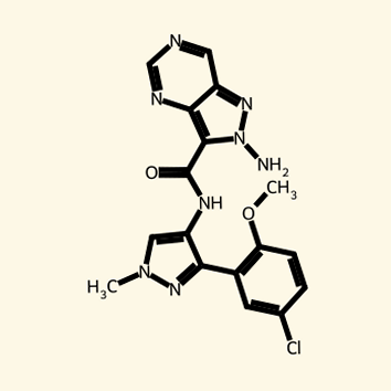 COc1ccc(Cl)cc1-c1nn(C)cc1NC(=O)c1c2ncncc2nn1N